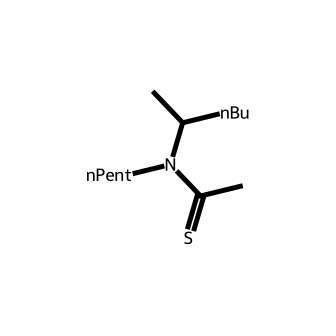 CCCCCN(C(C)=S)C(C)CCCC